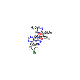 COc1ncnc(OC)c1-n1c(NS(=O)(=O)[C@@H](C)[C@H](OC)c2ncc(C)cn2)nnc1-c1cccc(Br)c1